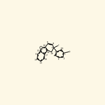 Cc1cccc(C2(C)C=Cc3oc4ccccc4c3C2)c1